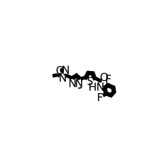 Cc1nc(-c2cc(-c3ccc(C(=O)Nc4c(F)cccc4F)s3)n(C)n2)no1